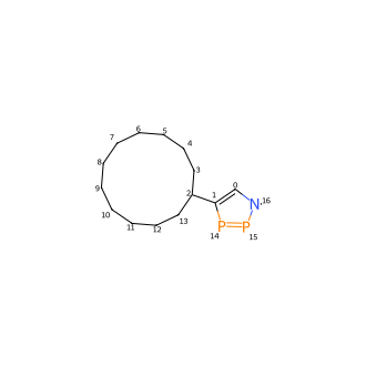 C1=C(C2CCCCCCCCCCC2)P=P[N]1